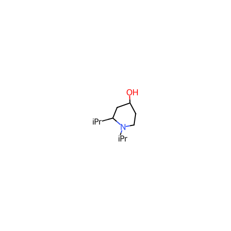 CC(C)C1CC(O)CCN1C(C)C